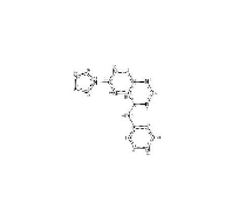 c1cc(Nc2ncnc3cnc(-n4ccnc4)nc23)ccn1